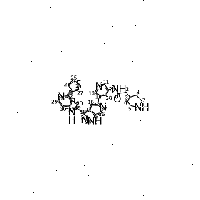 O=C(CC1CCNCC1)Nc1cncc(-c2cc3c(-c4cc5c(-c6ccsc6)nccc5[nH]4)n[nH]c3cn2)c1